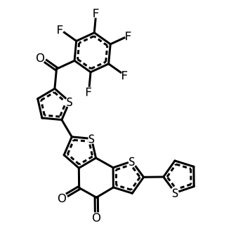 O=C1C(=O)c2cc(-c3ccc(C(=O)c4c(F)c(F)c(F)c(F)c4F)s3)sc2-c2sc(-c3cccs3)cc21